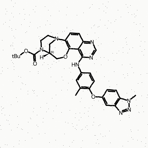 Cc1cc(Nc2ncnc3ccc4c(c23)OC[C@H]2CN4CCN2C(=O)OC(C)(C)C)ccc1Oc1ccc2c(c1)nnn2C